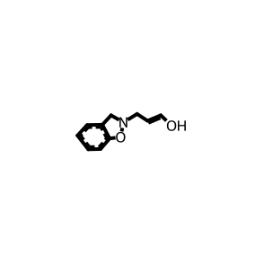 OC=CCN1Cc2ccccc2O1